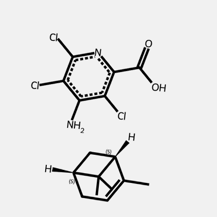 CC1=CC[C@@H]2C[C@H]1C2(C)C.Nc1c(Cl)c(Cl)nc(C(=O)O)c1Cl